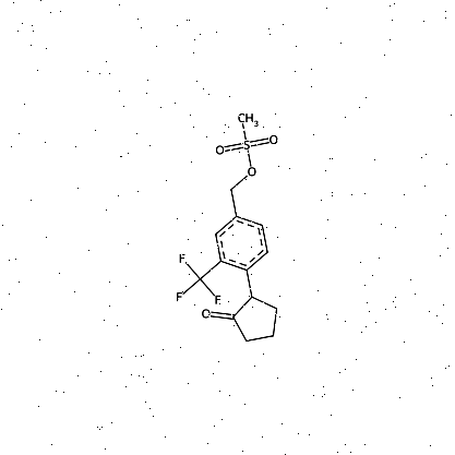 CS(=O)(=O)OCc1ccc(C2CCCC2=O)c(C(F)(F)F)c1